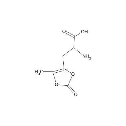 Cc1oc(=O)oc1CC(N)C(=O)O